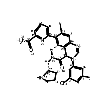 Cc1cc(Cl)cc(N2C=Nc3cc(C)c(-c4cccc(C(N)=O)n4)cc3C2C(=O)N(C)C[C@@H]2CCCN2)c1